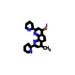 Cc1cc(-c2ccccn2)nc2c1ccc1c(SI)cc(-c3ccccn3)nc12